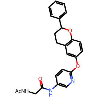 CC(=O)NCC(=O)Nc1ccc(Oc2ccc3c(c2)CCC(c2ccccc2)O3)nc1